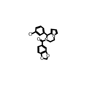 O=C(c1ccc2c(c1)OCO2)N1CCn2cccc2C1c1cccc(Cl)c1